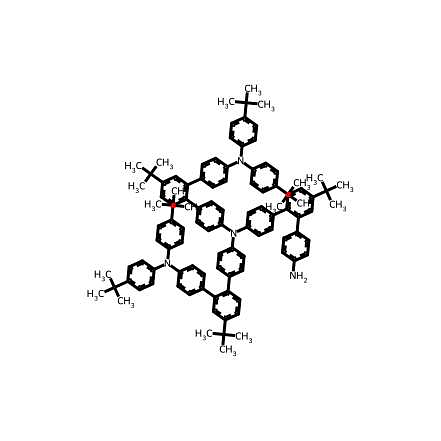 CC(C)(C)c1ccc(N(c2ccc(-c3cc(C(C)(C)C)ccc3-c3ccc(N(c4ccc(-c5ccc(C(C)(C)C)cc5-c5ccc(N)cc5)cc4)c4ccc(-c5ccc(C(C)(C)C)cc5-c5ccc(N(c6ccc(C(C)(C)C)cc6)c6ccc(C(C)(C)C)cc6)cc5)cc4)cc3)cc2)c2ccc(C(C)(C)C)cc2)cc1